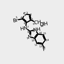 Cc1csc(Br)c1Nc1nc2cc(F)ccc2[nH]1.Cl